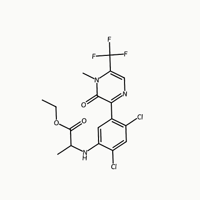 CCOC(=O)C(C)Nc1cc(-c2ncc(C(F)(F)F)n(C)c2=O)c(Cl)cc1Cl